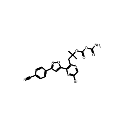 CC(C)(Cc1ncc(Br)nc1-c1cc(-c2ccc(C#N)cc2)no1)OC(=O)OC(N)=O